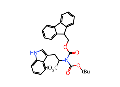 CC(C)(C)OC(=O)N(C(=O)OCC1c2ccccc2-c2ccccc21)C(Cc1c[nH]c2ccccc12)C(=O)O